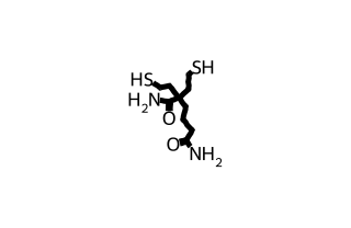 NC(=O)CCCC(CCS)(CCS)C(N)=O